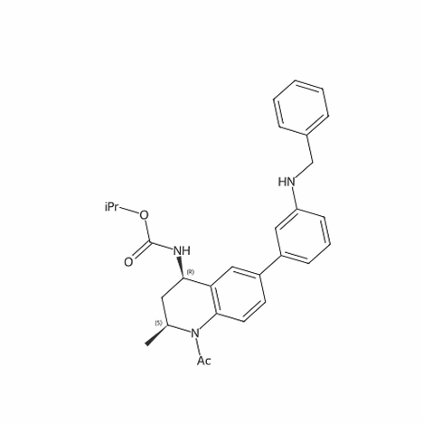 CC(=O)N1c2ccc(-c3cccc(NCc4ccccc4)c3)cc2[C@H](NC(=O)OC(C)C)C[C@@H]1C